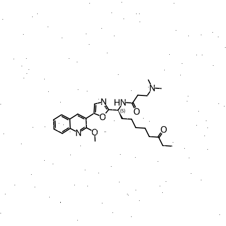 CCC(=O)CCCCC[C@H](NC(=O)CCN(C)C)c1ncc(-c2cc3ccccc3nc2OC)o1